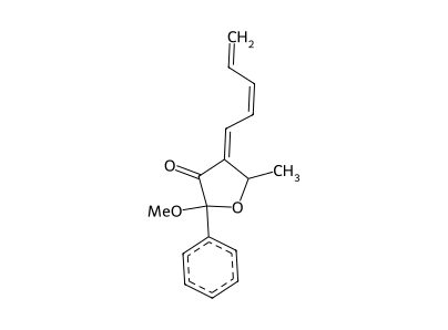 C=C/C=C\C=C1\C(=O)C(OC)(c2ccccc2)OC1C